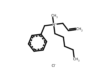 C=CC[N+](C)(CCCCC)Cc1ccccc1.[Cl-]